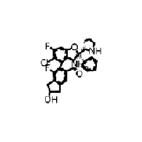 NC(=O)c1cc2c(c(F)c1-c1c(Cl)c(F)cc3c1C[C@](c1ccccc1)([C@@H]1CCCN1)O3)CC(O)C2